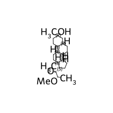 COC(C)C(=O)[C@H]1CC[C@H]2[C@@H]3CC[C@@H]4C[C@](C)(O)CC[C@@H]4[C@H]3CC[C@]12C